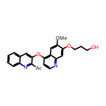 COc1cc2c(Oc3cc4ccccc4nc3C(C)=O)ccnc2cc1OCCCO